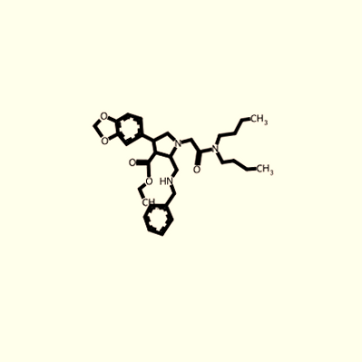 CCCCN(CCCC)C(=O)CN1CC(c2ccc3c(c2)OCO3)C(C(=O)OCC)C1CNCc1ccccc1